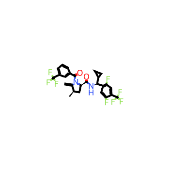 C=C1[C@H](C)C[C@H](C(=O)N[C@@H](c2cc(F)c(C(F)(F)F)cc2F)C2CC2)N1C(=O)c1cccc(C(F)(F)F)c1